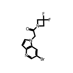 O=C(Cn1ccc2ncc(Br)cc21)N1CC(F)(F)C1